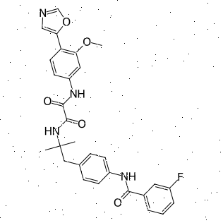 COc1cc(NC(=O)C(=O)NC(C)(C)Cc2ccc(NC(=O)c3cccc(F)c3)cc2)ccc1-c1cnco1